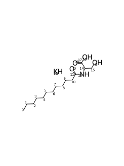 CCCCCCCCCCCC(=O)NC(CO)C(=O)O.[KH]